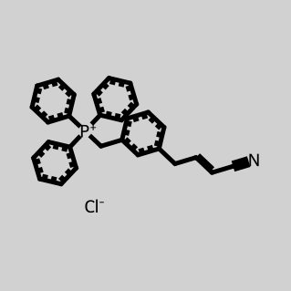 N#CC=CCc1cccc(C[P+](c2ccccc2)(c2ccccc2)c2ccccc2)c1.[Cl-]